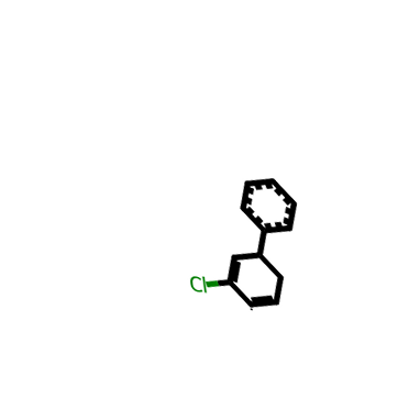 ClC1=CC(c2ccccc2)CC=[C]1